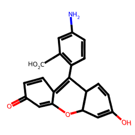 Nc1ccc(C2=C3C=CC(=O)C=C3OC3C=C(O)C=CC23)c(C(=O)O)c1